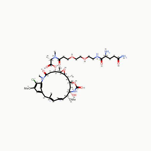 COc1cc2cc(c1Cl)N(C)C(=O)C[C@H](OC(=O)[C@H](C)N(C)C(=O)CCOCCOCCNC(=O)[C@@H](N)CCC(N)=O)[C@]1(C)OC1[C@H](C)[C@@H]1C[C@@](O)(NC(=O)O1)[C@H](OC)/C=C/C=C(\C)C2